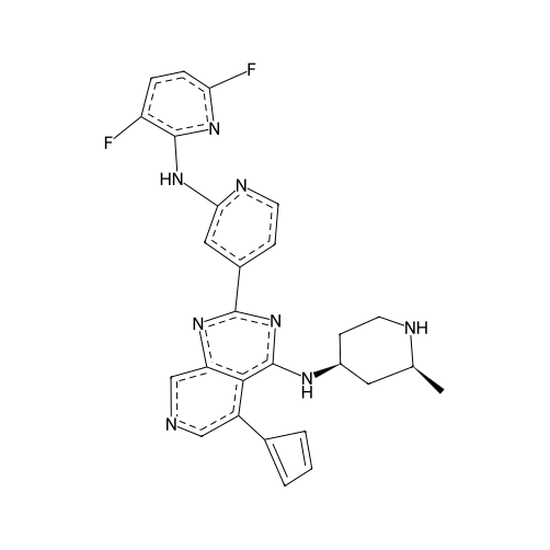 C[C@H]1C[C@@H](Nc2nc(-c3ccnc(Nc4nc(F)ccc4F)c3)nc3cncc(C4=CC=C4)c23)CCN1